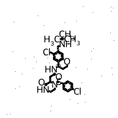 CC(C)(C)NCc1cc2c(cc1Cl)[C@H](NC(=O)CC1C(=O)NCCN1Sc1ccc(Cl)cc1)CCO2